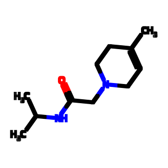 CC1=CCN(CC(=O)NC(C)C)CC1